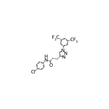 O=C(CCc1cn(-c2cc(C(F)(F)F)cc(C(F)(F)F)c2)nn1)Nc1ccc(Cl)cc1